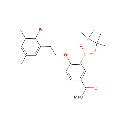 COC(=O)c1ccc(OCCc2cc(C)cc(C)c2Br)c(B2OC(C)(C)C(C)(C)O2)c1